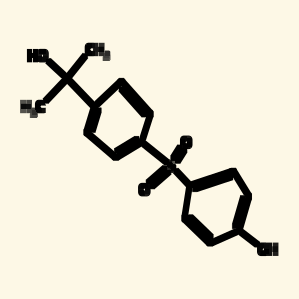 CC(C)(O)c1ccc(S(=O)(=O)c2ccc(O)cc2)cc1